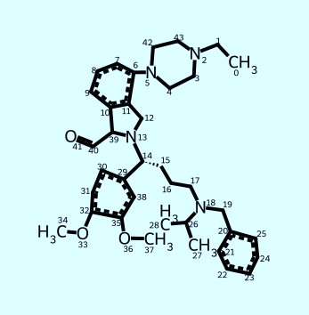 CCN1CCN(c2cccc3c2CN([C@H](CCCN(Cc2ccccc2)C(C)C)c2ccc(OC)c(OC)c2)C3C=O)CC1